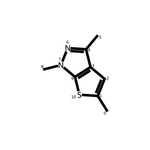 Cc1cc2c(C)nn(C)c2s1